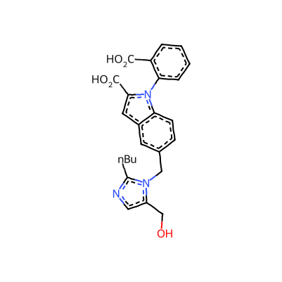 CCCCc1ncc(CO)n1Cc1ccc2c(c1)cc(C(=O)O)n2-c1ccccc1C(=O)O